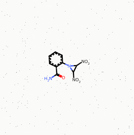 NC(=O)c1ccccc1N1C([N+](=O)[O-])C1[N+](=O)[O-]